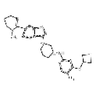 CN1CCCN=C1c1ccn2c([C@H]3CCC[C@@H](Nc4ncc(C(F)(F)F)c(OC5COC5)n4)C3)nnc2c1